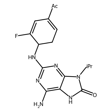 CC(=O)C1=CCC(Nc2nc(N)c3[nH]c(=O)n(C(C)C)c3n2)C(F)=C1